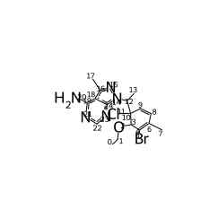 CCOC1C(Br)=C(C)C=CC1(Cl)C(C)n1nc(C)c2c(N)ncnc21